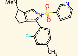 CNC1CCc2c1cn(S(=O)(=O)c1cccnc1)c2-c1ccc(C)cc1F